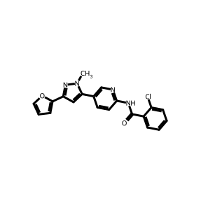 Cn1nc(-c2ccco2)cc1-c1ccc(NC(=O)c2ccccc2Cl)nc1